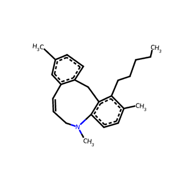 CCCCCc1c(C)ccc2c1Cc1ccc(C)cc1/C=C\CN2C